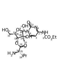 CCOC(=O)Nc1ccn([C@]2(O)O[C@H](CO)[C@@H](OC(=O)[C@@H](N)C(C)C)[C@@]2(C)O)c(=O)n1